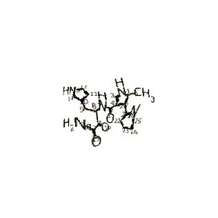 Cc1[nH]cc(C(=O)NC(Cc2cc[nH]c2)C(=O)C(N)=O)c1-c1ccccn1